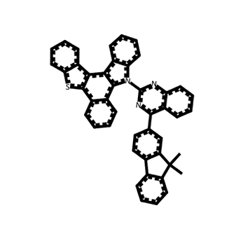 CC1(C)c2ccccc2-c2ccc(-c3nc(-n4c5ccccc5c5c6c7ccccc7sc6c6ccccc6c54)nc4ccccc34)cc21